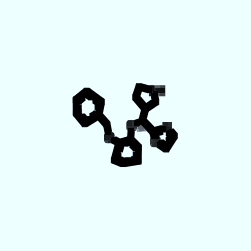 c1ccc(COc2ccccc2O[C@H](c2ncco2)C2CCNC2)cc1